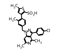 Cc1cc2c(c(C)n1)c(-c1ccc(Cl)cc1)nn2Cc1ccc(-c2cc(C)sc2S(=O)(=O)O)c(C)c1